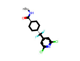 CCCCNC(=O)[C@H]1CC[C@H](C(F)(F)c2cc(Cl)nc(Cl)c2)CC1